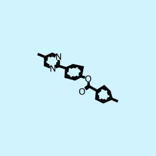 Cc1ccc(C(=O)Oc2ccc(-c3ncc(C)cn3)cc2)cc1